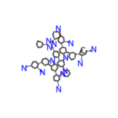 N#Cc1ccc(-c2ccc3c(c2)c2cc(-c4ccc(C#N)cc4C#N)ccc2n3-c2cc(-c3ccccn3)ccc2-c2ccc(-c3nc(-c4ccccc4)nc(-c4ccccc4)n3)cc2-n2c3ccc(-c4ccc(C#N)cc4C#N)cc3c3cc(-c4ccc(C#N)cc4C#N)ccc32)c(C#N)c1